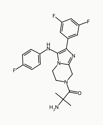 CC(C)(N)C(=O)N1CCn2c(nc(-c3cc(F)cc(F)c3)c2Nc2ccc(F)cc2)C1